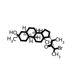 CC(Br)C(=O)C(C)[C@H]1CC[C@H]2[C@@H]3CC[C@@H]4C[C@](C)(O)CC[C@@H]4[C@H]3CC[C@]12C